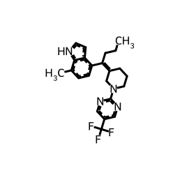 CCC/C(=C1\CCCN(c2ncc(C(F)(F)F)cn2)C1)c1ccc(C)c2[nH]ccc12